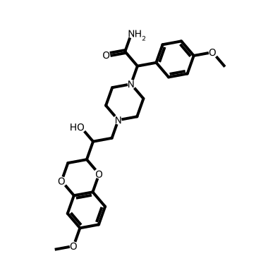 COc1ccc(C(C(N)=O)N2CCN(CC(O)C3COc4cc(OC)ccc4O3)CC2)cc1